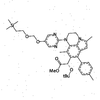 COC(=O)[C@@H](OC(C)(C)C)c1c(C)c2c3c(cc(C)n3CCN2c2ncc(OCOCC[Si](C)(C)C)cn2)c1-c1ccc(C)cc1